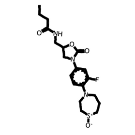 CCCC(=O)NCC1CN(c2ccc(N3CCC[S+]([O-])CC3)c(F)c2)C(=O)O1